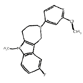 COc1cc(N2CCc3c(c4cc(F)ccc4n3C)C2)ccn1